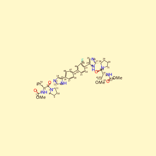 COC(=O)N[C@H](C(=O)N1CCC[C@H]1c1ncc(-c2ccc(-c3ccc(-c4cnc([C@@H]5CCCN5C(=O)[C@H](NC(=O)OC)[C@@H](C)OC)[nH]4)c(F)c3)cc2)[nH]1)C(C)C